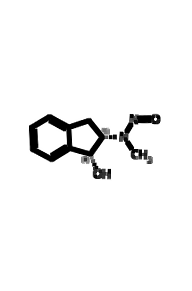 CN(N=O)[C@H]1Cc2ccccc2[C@H]1O